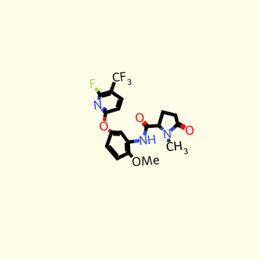 COc1ccc(Oc2ccc(C(F)(F)F)c(F)n2)cc1NC(=O)C1CCC(=O)N1C